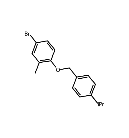 Cc1cc(Br)ccc1OCc1ccc(C(C)C)cc1